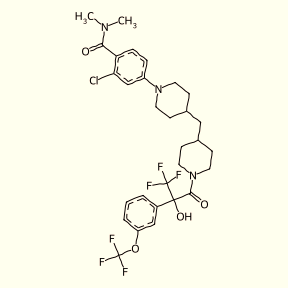 CN(C)C(=O)c1ccc(N2CCC(CC3CCN(C(=O)C(O)(c4cccc(OC(F)(F)F)c4)C(F)(F)F)CC3)CC2)cc1Cl